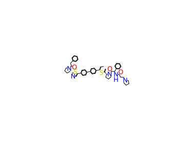 C=C(S/C(=C\C)c1ccc(-c2ccc(-c3cnc([C@@H]4CCCN4C(=O)Cc4ccccc4)s3)cc2)cc1)[C@@H]1CCCN1C(=O)[C@H](NC(=O)CCN1CCCC1)c1ccccc1